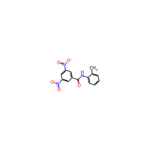 Cc1ccccc1NC(=O)c1cc([N+](=O)[O-])cc([N+](=O)[O-])c1